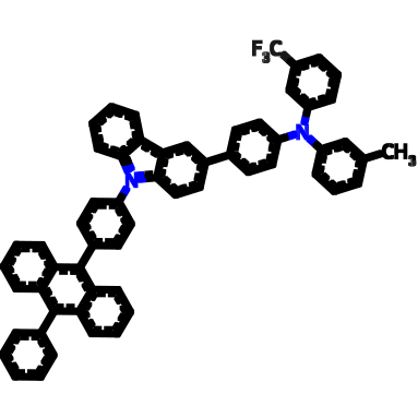 Cc1cccc(N(c2ccc(-c3ccc4c(c3)c3ccccc3n4-c3ccc(-c4c5ccccc5c(-c5ccccc5)c5ccccc45)cc3)cc2)c2cccc(C(F)(F)F)c2)c1